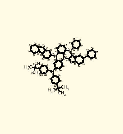 CC(C)(C)c1ccc(N(c2ccc(C(C)(C)C)cc2)c2ccc3c(c2)N(c2ccc4c(c2)oc2ccccc24)c2cccc4c2B3c2sc3ccc(-c5ccccc5)cc3c2N4c2ccccc2)cc1